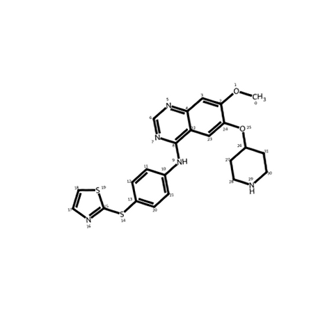 COc1cc2ncnc(Nc3ccc(Sc4nccs4)cc3)c2cc1OC1CCNCC1